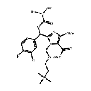 COC(=O)c1c(SC)nc(C(OC(=O)N(C(C)C)C(C)C)c2ccc(F)c(Cl)c2)n1COCC[Si](C)(C)C